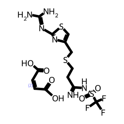 N=C(CCSCc1csc(N=C(N)N)n1)NS(=O)(=O)C(F)(F)F.O=C(O)/C=C\C(=O)O